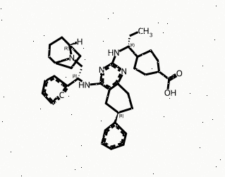 CC[C@@H](Nc1nc2c(c(N[C@@H](CN3C4CCC[C@@H]3CC4)c3ccccc3)n1)C[C@H](c1ccccc1)CC2)C1CCC(C(=O)O)CC1